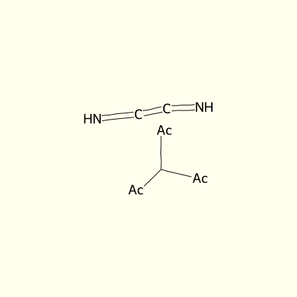 CC(=O)C(C(C)=O)C(C)=O.N=C=C=N